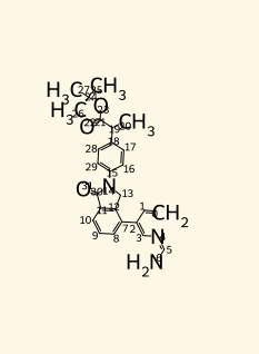 C=C/C(=C\N=C/N)c1cccc2c1CN(c1ccc(C(C)C(=O)OC(C)(C)C)cc1)C2=O